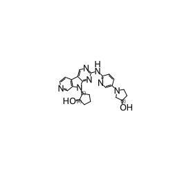 O[C@@H]1CCN(c2ccc(Nc3ncc4c5ccncc5n([C@H]5CCC[C@H]5O)c4n3)nc2)C1